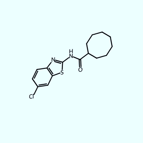 O=C(Nc1nc2ccc(Cl)cc2s1)C1CCCCCCC1